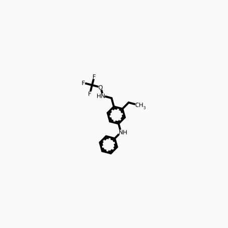 CCc1cc(Nc2ccccc2)ccc1CNOC(F)(F)F